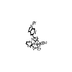 CC(C)n1ccc2cc(-c3nsc(Nc4nccnc4N(C)C(=O)OC(C)(C)C)n3)ncc21